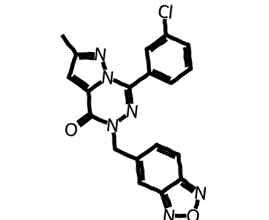 Cc1cc2c(=O)n(Cc3ccc4nonc4c3)nc(-c3cccc(Cl)c3)n2n1